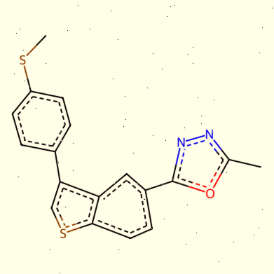 CSc1ccc(-c2csc3ccc(-c4nnc(C)o4)cc23)cc1